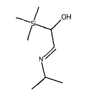 CC(C)N=CC(O)[Si](C)(C)C